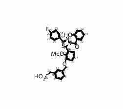 COc1c(OCc2cccc(CC(=O)O)c2)cccc1C1SC(c2ccc(F)cc2)=NN1C(=O)c1ccccc1O